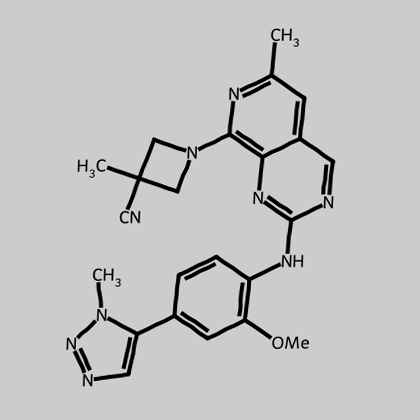 COc1cc(-c2cnnn2C)ccc1Nc1ncc2cc(C)nc(N3CC(C)(C#N)C3)c2n1